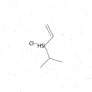 C=C[SiH](Cl)C(C)C